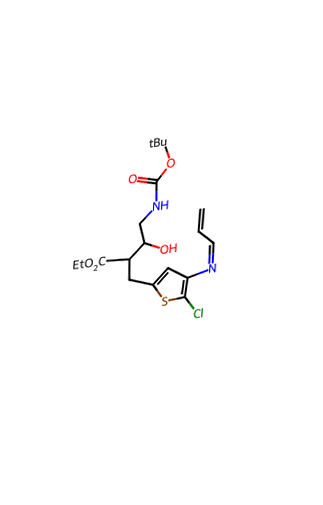 C=C/C=N\c1cc(CC(C(=O)OCC)C(O)CNC(=O)OC(C)(C)C)sc1Cl